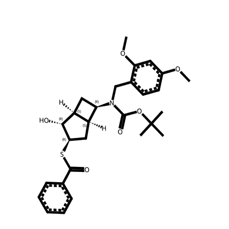 COc1ccc(CN(C(=O)OC(C)(C)C)[C@@H]2C[C@@H]3[C@@H](O)[C@H](SC(=O)c4ccccc4)C[C@@H]32)c(OC)c1